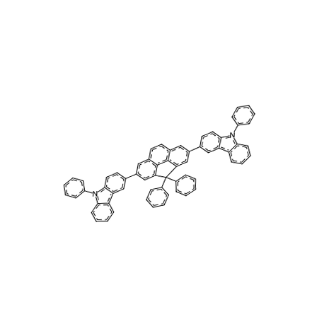 c1ccc(-n2c3ccccc3c3cc(-c4cc5c6c(ccc7cc(-c8ccc9c(c8)c8ccccc8n9-c8ccccc8)cc(c76)C5(c5ccccc5)c5ccccc5)c4)ccc32)cc1